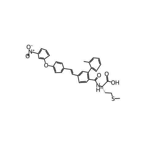 CSCC[C@H](NC(=O)c1ccc(C=Cc2ccc(Oc3cccc([N+](=O)[O-])c3)cc2)cc1-c1ccccc1C)C(=O)O